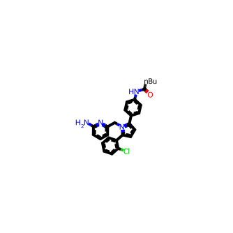 CCCCC(=O)Nc1ccc(-c2ccc(-c3ccccc3Cl)n2Cc2cccc(N)n2)cc1